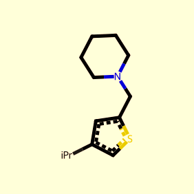 CC(C)c1csc(CN2CCCCC2)c1